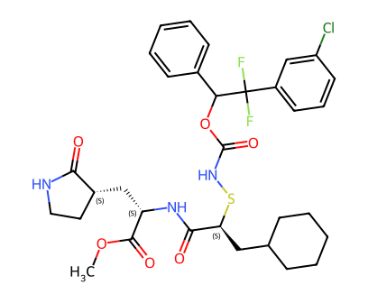 COC(=O)[C@H](C[C@@H]1CCNC1=O)NC(=O)[C@H](CC1CCCCC1)SNC(=O)OC(c1ccccc1)C(F)(F)c1cccc(Cl)c1